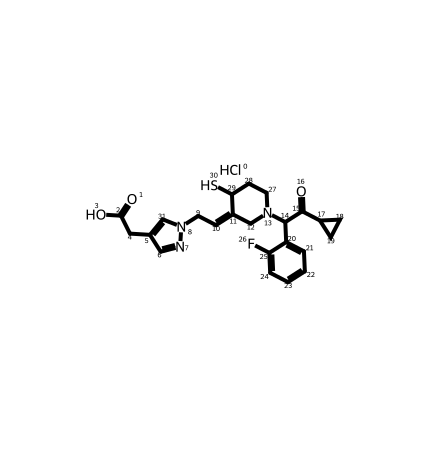 Cl.O=C(O)Cc1cnn(CC=C2CN(C(C(=O)C3CC3)c3ccccc3F)CCC2S)c1